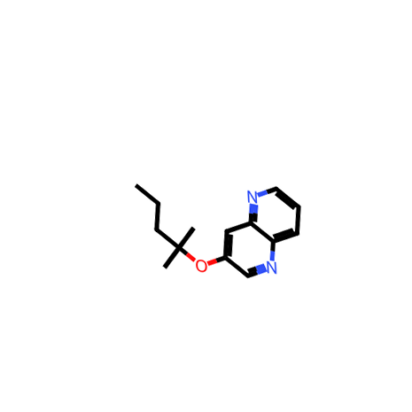 CCCC(C)(C)Oc1cnc2cccnc2c1